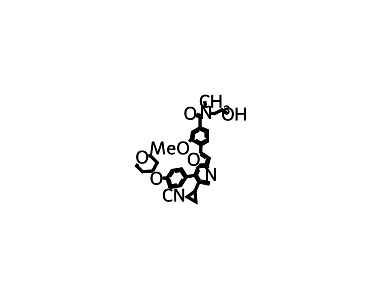 COc1cc(C(=O)N(C)CCO)ccc1-c1cc2ncc(C3CC3)c(-c3ccc(OC4CCOCC4)c(C#N)c3)c2o1